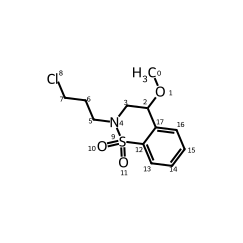 COC1CN(CCCCl)S(=O)(=O)c2ccccc21